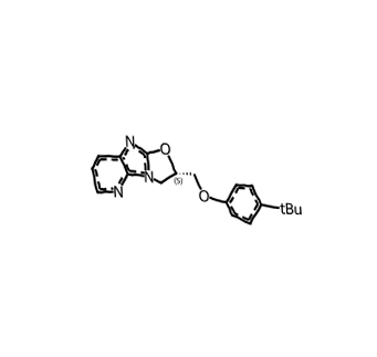 CC(C)(C)c1ccc(OC[C@@H]2Cn3c(nc4cccnc43)O2)cc1